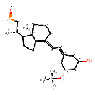 C[C@H](CP=O)C1CCC2/C(=C/C=C3/C[C@@H](O)C[C@H](O[Si](C)(C)C(C)(C)C)C3)CCC[C@@]21C